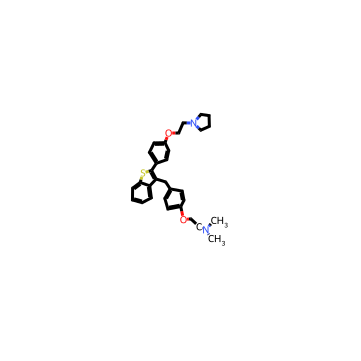 CN(C)CCOc1ccc(Cc2c(-c3ccc(OCCN4CCCC4)cc3)sc3ccccc23)cc1